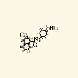 CC(C)(C)CC1CCC(CNC(=O)c2cc(Cl)nc3ccccc23)CC1